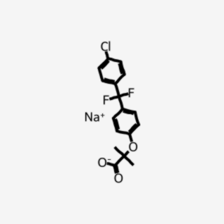 CC(C)(Oc1ccc(C(F)(F)c2ccc(Cl)cc2)cc1)C(=O)[O-].[Na+]